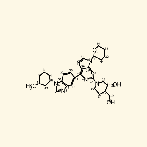 C[C@H]1CCC[C@H](n2cnc3cc(-c4nc(N5CC[C@H](CO)[C@@H](O)C5)nc5c4ncn5C4CCCCO4)ccc32)C1